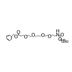 CC(C)(C)OC(=O)NCCOCCOCCCOCCOCCC(=O)OCc1ccccc1